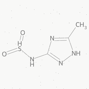 Cc1nc(N[SH](=O)=O)n[nH]1